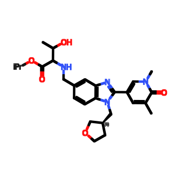 Cc1cc(-c2nc3cc(CNC(C(=O)OC(C)C)C(C)O)ccc3n2C[C@H]2CCOC2)cn(C)c1=O